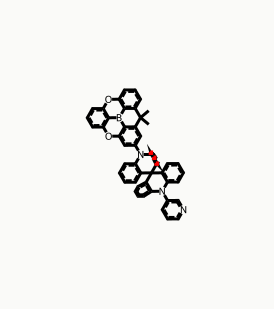 CC1(C)c2cccc3c2B2c4c(cccc4Oc4cc(N5c6ccccc6C6(c7ccccc7N(c7cccnc7)c7ccccc76)c6ccccc65)cc1c42)O3